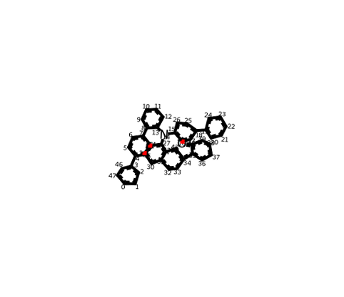 c1ccc(-c2ccc(-c3ccccc3N(c3ccc(-c4ccccc4)cc3)c3cccc4ccc5c6ccccc6oc5c34)cc2)cc1